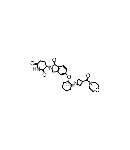 O=C1CCC(N2Cc3cc(O[C@H]4CCCC[C@H]4N4CC(C(=O)N5CCOCC5)C4)ccc3C2=O)C(=O)N1